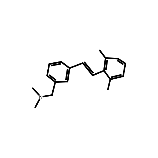 Cc1cccc(C)c1C=Cc1cccc(CN(C)C)c1